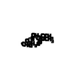 COc1cc(C(=O)N2CCC3(CC2)Oc2ccccc2-n2cccc23)ccc1OC(C)(C)C